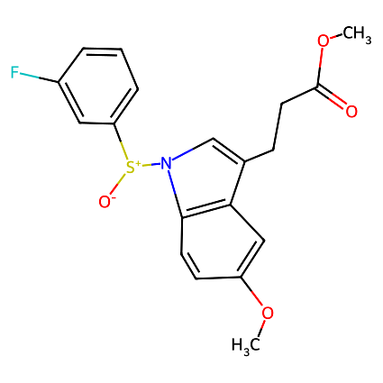 COC(=O)CCc1cn([S+]([O-])c2cccc(F)c2)c2ccc(OC)cc12